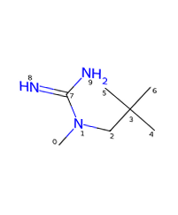 CN(CC(C)(C)C)C(=N)N